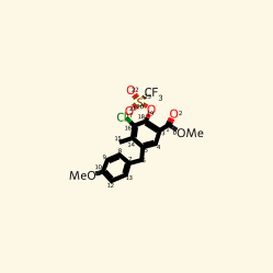 COC(=O)c1cc(Cc2ccc(OC)cc2)c(C)c(Cl)c1OS(=O)(=O)C(F)(F)F